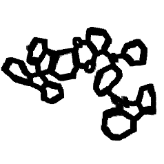 c1ccc(N(c2cccc(-n3c4ccccc4c4ccccc43)c2)c2cccc3c2Oc2ccc4c(c2O3)-c2ccccc2C42c3ccccc3-c3ccccc32)cc1